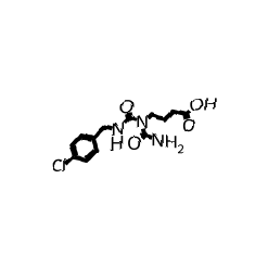 NC(=O)N(CCCC(=O)O)C(=O)NCc1ccc(Cl)cc1